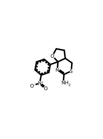 NC1=NC2(c3cccc([N+](=O)[O-])c3)OCCC2CS1